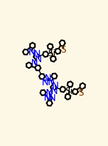 c1ccc([Si](c2ccccc2)(c2ccc(-c3nc(-n4c5ccccc5c5ccccc54)cc(-n4c5ccccc5c5cc(-c6ccc7nc8n(-c9cc(-n%10c%11ccccc%11n%11c%12ccccc%12nc%10%11)nc(-c%10ccc([Si](c%11ccccc%11)(c%11ccccc%11)c%11ccc%12sc%13ccccc%13c%12c%11)cc%10)n9)c9ccccc9n8c7c6)ccc54)n3)cc2)c2ccc3sc4ccccc4c3c2)cc1